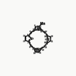 [Mn][c]1cc2cc3nc(cc4ccc(cc5nc(cc1[nH]2)C=C5)[nH]4)C=C3